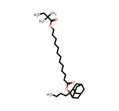 CCCCC1(OC(=O)CCCCCCCCCCCCOC(=O)C(C)(C)CC)C2CC3CC(C2)CC1C3